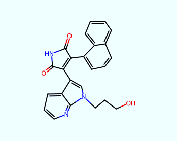 O=C1NC(=O)C(c2cn(CCCO)c3ncccc23)=C1c1cccc2ccccc12